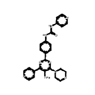 CSc1c(-c2ccncc2)nc(-c2ccc(NC(=O)Nc3ccncc3)cc2)nc1N1CCOCC1